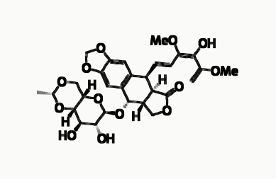 C=C(OC)/C(O)=C(\C=C\[C@@H]1c2cc3c(cc2[C@@H](O[C@@H]2O[C@H]4CO[C@@H](C)O[C@H]4[C@H](O)[C@H]2O)[C@H]2COC(=O)[C@@H]21)OCO3)OC